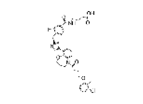 Cc1c(Cl)cccc1OCCCC(=O)N1CCCOc2c(-c3cnn(Cc4ccc(C(=O)NCCCC(=O)O)cc4F)c3)cccc21